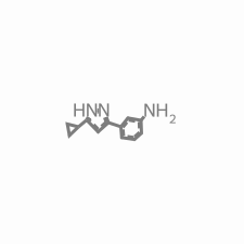 Nc1cccc(-c2cc(C3CC3)[nH]n2)c1